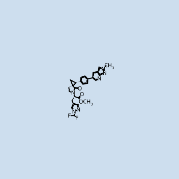 COC(=O)[C@@H](Cc1cnn(C(F)F)c1)N1CC[C@@]2(C[C@@H]2c2ccc(-c3cnc4nn(C)cc4c3)cc2)C1=O